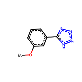 CCOc1cccc(-c2nnn[nH]2)c1